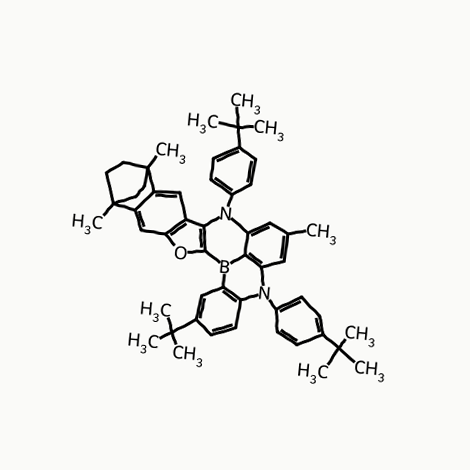 Cc1cc2c3c(c1)N(c1ccc(C(C)(C)C)cc1)c1c(oc4cc5c(cc14)C1(C)CCC5(C)CC1)B3c1cc(C(C)(C)C)ccc1N2c1ccc(C(C)(C)C)cc1